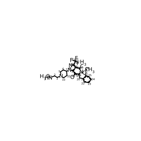 CNCCN1CCC(n2nc(C(F)(F)F)c3c(C)nn(Cc4ccccc4OC)c(=O)c32)CC1